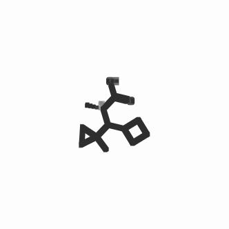 C[C@H](C(=O)O)C(C1CCC1)C1(C)CC1